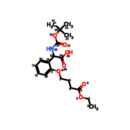 CCOC(=O)CCCOc1ccccc1C(NC(=O)OC(C)(C)C)C(=O)O